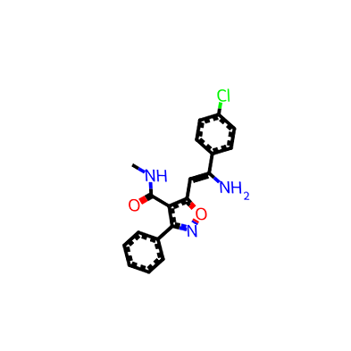 CNC(=O)c1c(-c2ccccc2)noc1C=C(N)c1ccc(Cl)cc1